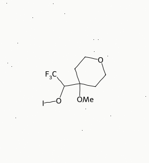 COC1(C(OI)C(F)(F)F)CCOCC1